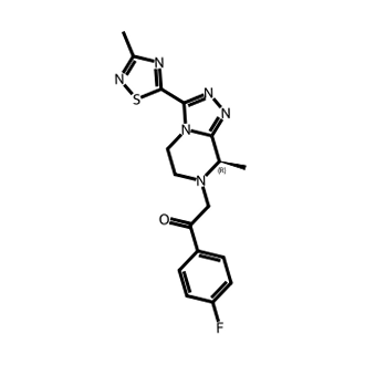 Cc1nsc(-c2nnc3n2CCN(CC(=O)c2ccc(F)cc2)[C@@H]3C)n1